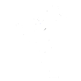 Cc1cc(C(=O)O)ccc1-c1ccc([C@H](C/C(=N\O)c2ccc(=O)n(C)c2)c2ccc(Cl)cc2F)cc1